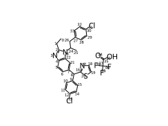 CCc1nc2ccc(C(c3ccc(Cl)cc3)c3nccs3)cc2n1C(C)Cc1ccc(Cl)cc1.O=C(O)C(F)(F)F